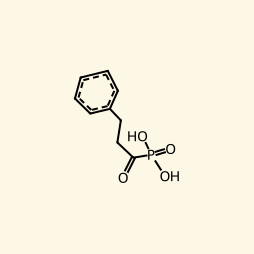 O=C(CCc1ccccc1)P(=O)(O)O